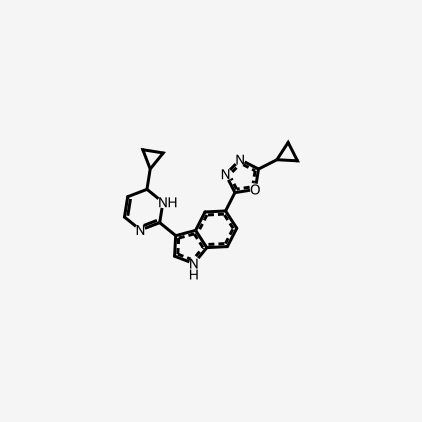 C1=CC(C2CC2)NC(c2c[nH]c3ccc(-c4nnc(C5CC5)o4)cc23)=N1